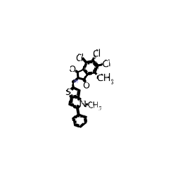 Cc1c(Cl)c(Cl)c(Cl)c2c1C(=O)/C(=C\c1cc3c(cc(-c4ccccc4)n3C)s1)C2=O